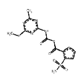 COc1nc(C)nc(NC(=O)OC(=O)c2sccc2S(N)(=O)=O)n1